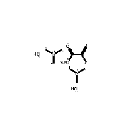 C=C(C)C(=O)OC.CN(C)C.CN(C)C.Cl.Cl